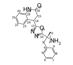 C[C@@](N)(Cc1ccccc1)c1nnc(C2CC(=O)Nc3ccccc32)o1